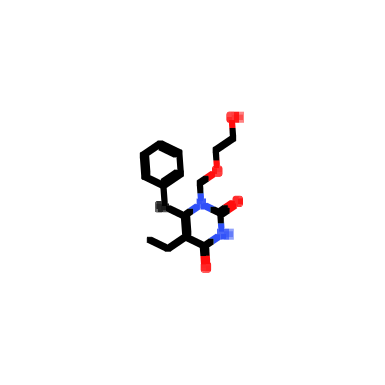 CCc1c([Se]c2ccccc2)n(COCCO)c(=O)[nH]c1=O